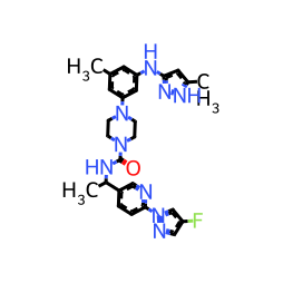 Cc1cc(Nc2cc(C)[nH]n2)cc(N2CCN(C(=O)NC(C)c3ccc(-n4cc(F)cn4)nc3)CC2)c1